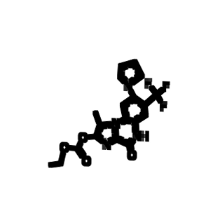 CCOC(=O)Oc1nc2c(=O)[nH]c3cc(C(F)(F)F)c(-n4cccc4)cc3n2c1C